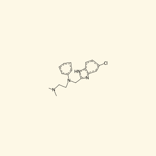 CN(C)CCN(Cc1nc2cc(Cl)ccc2[nH]1)c1ccccc1